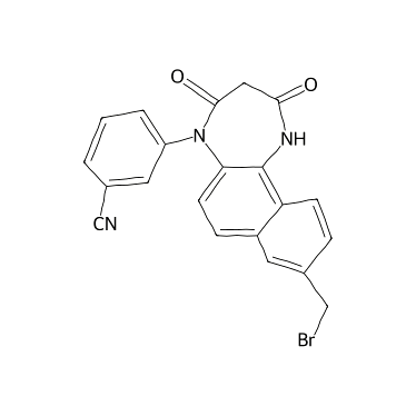 N#Cc1cccc(N2C(=O)CC(=O)Nc3c2ccc2cc(CBr)ccc32)c1